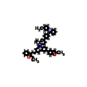 C=Cc1oc2ccccc2c1/C=C/C1/C=C/C2C=C(c3ccc4oc(C)cc4c3)C=CC2N(C(=C)/C=C\C(=C)c2ccc(N(c3ccccc3)c3cccc(C)c3)cc2)/C=C/C1